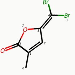 CC1=CC(=C(Br)Br)OC1=O